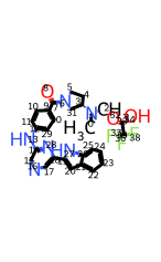 CN(C)[C@H]1CCN(C(=O)c2ccc(Nc3cncc(-c4cc5ccccc5[nH]4)n3)cc2)C1.O=C(O)C(F)(F)F